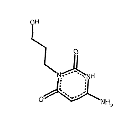 Nc1cc(=O)n(CCCO)c(=O)[nH]1